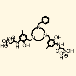 Cc1cc(CN2CCCN(Cc3ccccc3)CCN(Cc3cc(C)cc(NC(=O)CP(=O)(O)O)c3O)CCC2)c(O)c(NC(=O)CP(=O)(O)O)c1